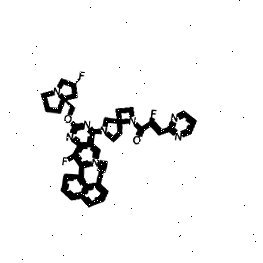 C#Cc1cccc2cccc(-c3ncc4c(N5CCC6(CCN6C(=O)/C(F)=C/c6ncccn6)C5)nc(OC[C@@]56CCCN5C[C@H](F)C6)nc4c3F)c12